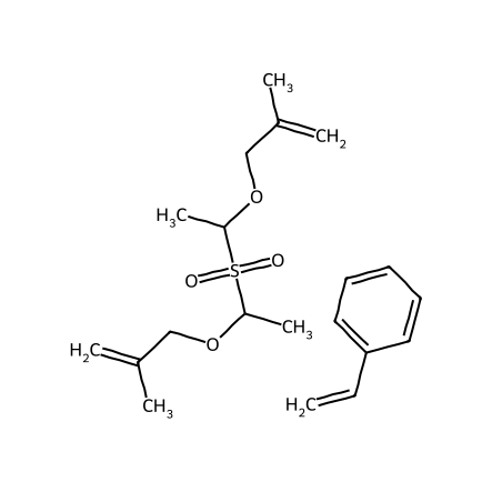 C=C(C)COC(C)S(=O)(=O)C(C)OCC(=C)C.C=Cc1ccccc1